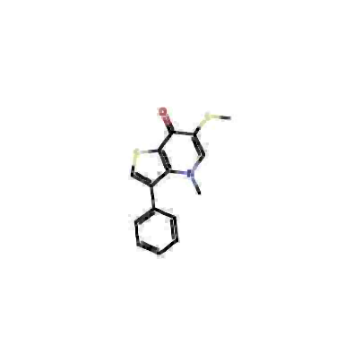 CSc1cn(C)c2c(-c3ccccc3)csc2c1=O